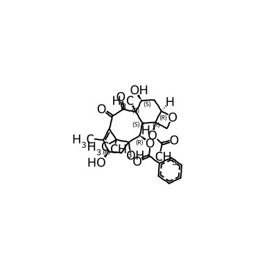 CC(=O)O[C@]12CO[C@@H]1C[C@H](O)[C@@]1(C)C(=O)C(=O)C3=C(C)[C@H](O)CC(O)([C@H](OC(=O)c4ccccc4)[C@@H]21)C3(C)C